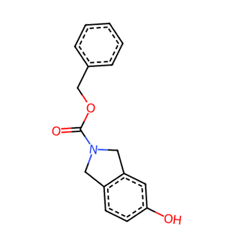 O=C(OCc1ccccc1)N1Cc2ccc(O)cc2C1